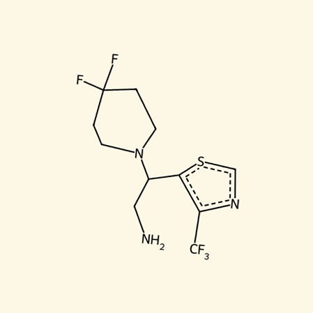 NCC(c1scnc1C(F)(F)F)N1CCC(F)(F)CC1